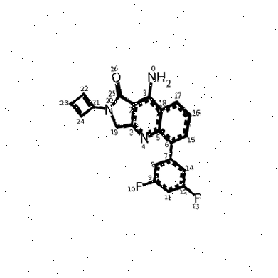 Nc1c2c(nc3c(-c4cc(F)cc(F)c4)cccc13)CN(C1=CC=C1)C2=O